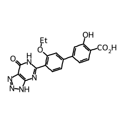 CCOc1cc(-c2ccc(C(=O)O)c(O)c2)ccc1-c1nc2[nH]nnc2c(=O)[nH]1